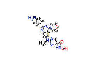 CN(c1ncc(C(=O)NO)cn1)c1cc2nc(-c3ccc(N)cc3)nc(N3CCOCC3)c2s1